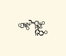 C=C[C@@H](CNC(=O)N1CCOCC1)[C@H]1CCN2C(=O)S[C@@H](c3ccnc4ccc(OC)cc34)[C@@H]2C1